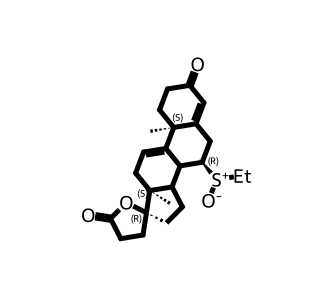 CC[S+]([O-])[C@@H]1CC2=CC(=O)CC[C@]2(C)C2=CC[C@@]3(C)C(CC[C@@]34CCC(=O)O4)C21